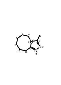 Cc1nnc2n1CCCCCC2